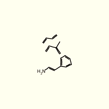 C=CC(=C)C.C=CC=C.NC=Cc1ccccc1